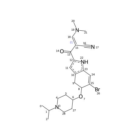 CC(C)N1CCC(OC2Cc3cc(C(=O)/C(C#N)=C/N(C)C)[nH]c3C=C2Br)CC1